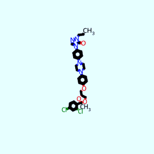 CCCn1ncn(-c2ccc(N3CCN(c4ccc(OCC5COC(C)(c6ccc(Cl)cc6Cl)O5)cc4)CC3)cc2)c1=O